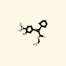 CCOC(=O)C1C(c2ccccc2)C1c1ccc([N+](=O)[O-])c(Br)c1